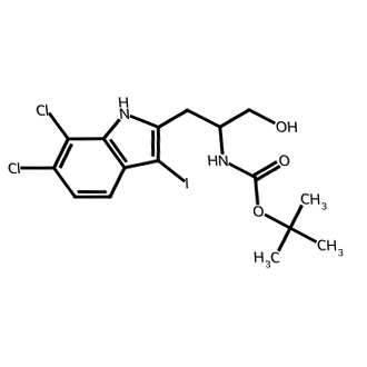 CC(C)(C)OC(=O)NC(CO)Cc1[nH]c2c(Cl)c(Cl)ccc2c1I